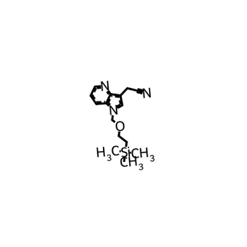 C[Si](C)(C)CCOCn1cc(CC#N)c2ncccc21